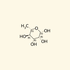 C[C@@H]1O[C@H](O)[C@H](O)[C@H](O)[C@H]1O